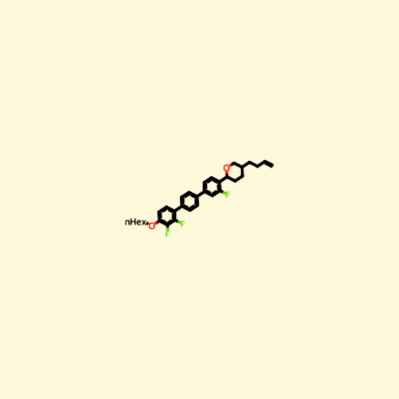 C=CCCC1CCC(c2ccc(-c3ccc(-c4ccc(OCCCCCC)c(F)c4F)cc3)cc2F)OC1